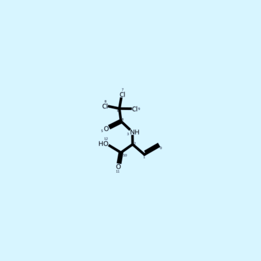 C=CC(NC(=O)C(Cl)(Cl)Cl)C(=O)O